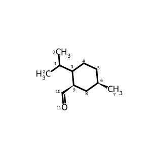 CC(C)C1CC[C@@H](C)C[C@H]1C=O